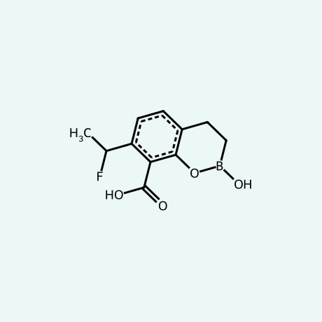 CC(F)c1ccc2c(c1C(=O)O)OB(O)CC2